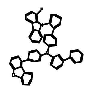 Fc1cccc2c3ccccc3n(-c3ccccc3-c3ccc(N(c4ccc(-c5cccc6oc7ccccc7c56)cc4)c4cccc(-c5ccccc5)c4)cc3)c12